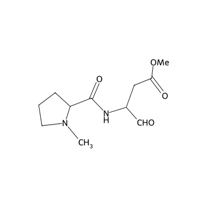 COC(=O)CC(C=O)NC(=O)C1CCCN1C